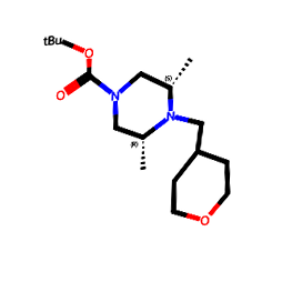 C[C@@H]1CN(C(=O)OC(C)(C)C)C[C@H](C)N1CC1CCOCC1